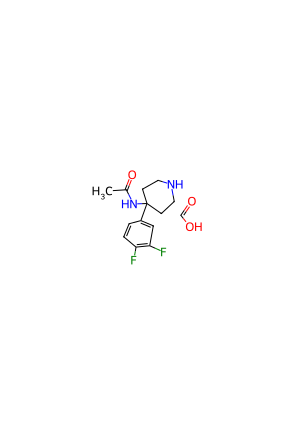 CC(=O)NC1(c2ccc(F)c(F)c2)CCNCC1.O=CO